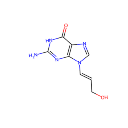 Nc1nc2c(ncn2C=CCO)c(=O)[nH]1